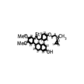 CCN(Cc1ccc(OCCN(C)C2CC2)cc1)c1cc(OC)c(OC)cc1C1CCc2cc(O)ccc2C1